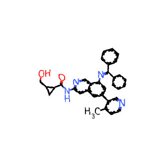 Cc1ccncc1-c1cc(N=C(c2ccccc2)c2ccccc2)c2cnc(NC(=O)C3CC3CO)cc2c1